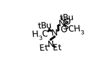 CCN(CC)CCN(CCN(C(C)(C)C)S(C)(=O)=O)C(C)C(C)(C)C